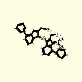 CCC1=Cc2c(-c3ccccc3)cccc2[CH]1[Mg][C]1=C(CC)C(=[Si](C)C)c2c1cccc2-c1ccccc1